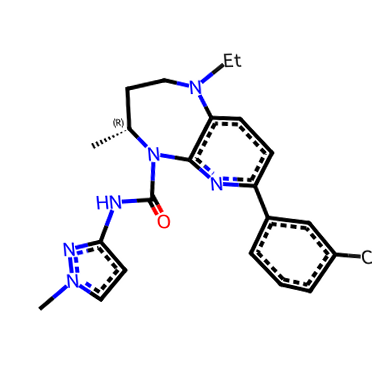 CCN1CC[C@@H](C)N(C(=O)Nc2ccn(C)n2)c2nc(-c3cccc(C#N)c3)ccc21